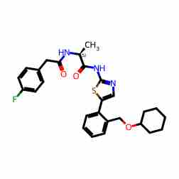 C[C@H](NC(=O)Cc1ccc(F)cc1)C(=O)Nc1ncc(-c2ccccc2COC2CCCCC2)s1